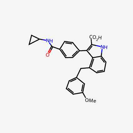 COc1cccc(Cc2cccc3[nH]c(C(=O)O)c(-c4ccc(C(=O)NC5CC5)cc4)c23)c1